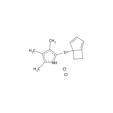 Cc1[nH][c]([Ti+2][C]23C=CC=C2CC3)c(C)c1C.[Cl-].[Cl-]